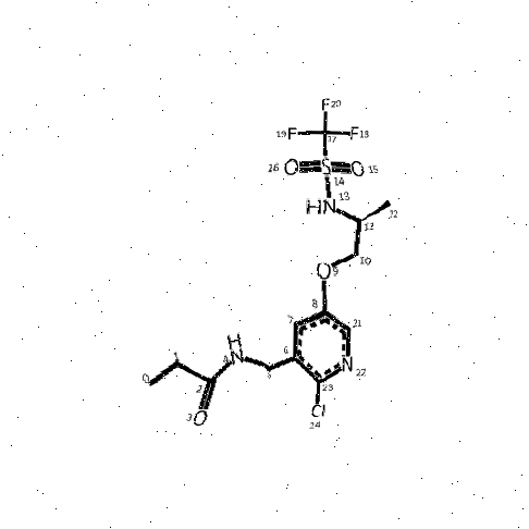 CCC(=O)NCc1cc(OC[C@H](C)NS(=O)(=O)C(F)(F)F)cnc1Cl